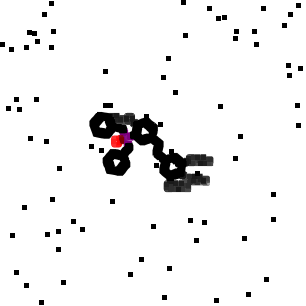 COc1ccc(/C=C/c2cc(OC)c(OC)c(OC)c2)cc1P(=O)(Cc1ccccc1)Cc1ccccc1